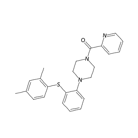 Cc1ccc(Sc2ccccc2N2CCN(C(=O)c3ccccn3)CC2)c(C)c1